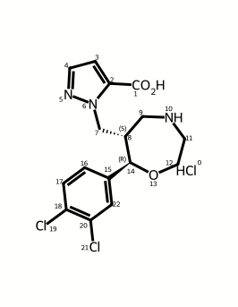 Cl.O=C(O)c1ccnn1C[C@@H]1CNCCO[C@H]1c1ccc(Cl)c(Cl)c1